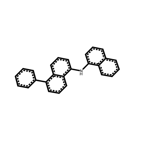 c1ccc(-c2cccc3c(Nc4cccc5ccccc45)cccc23)cc1